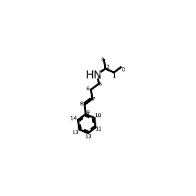 CCC(C)NCCC=Cc1ccccc1